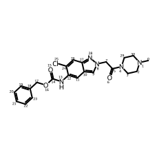 CN1CCN(C(=O)Cn2cc3cc(NC(=O)OCc4ccccc4)c(Cl)cc3n2)CC1